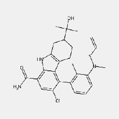 C=CSN(C)c1cccc(-c2c(Cl)cc(C(N)=O)c3[nH]c4c(c23)CCC(C(C)(C)O)C4)c1C